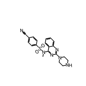 CN(c1nc(N2CCNCC2)nc2ccccc12)S(=O)(=O)c1ccc(C#N)cc1